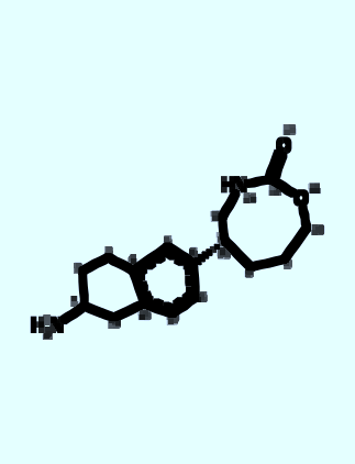 NC1CCc2cc([C@H]3CCCOC(=O)NC3)ccc2C1